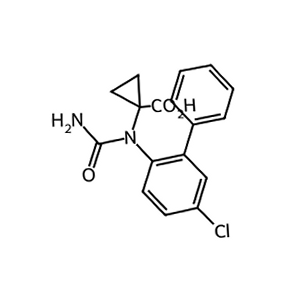 NC(=O)N(c1ccc(Cl)cc1-c1ccccc1)C1(C(=O)O)CC1